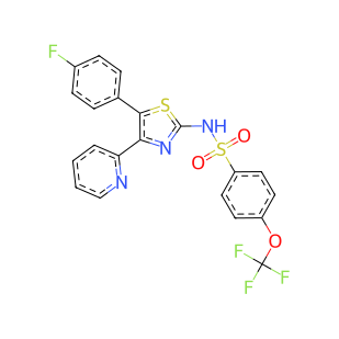 O=S(=O)(Nc1nc(-c2ccccn2)c(-c2ccc(F)cc2)s1)c1ccc(OC(F)(F)F)cc1